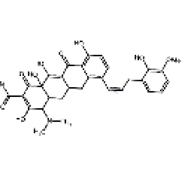 COc1cccc(C/C=C\c2ccc(O)c3c2CC2CC4C(N(C)C)C(O)=C(C(N)=O)C(=O)C4(O)C(O)=C2C3=O)c1O